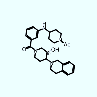 CC(=O)N1CCC(Nc2cccc(C(=O)N3CCC(N4CCc5ccccc5C4)[C@@H](O)C3)c2)CC1